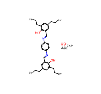 CC(=O)[O-].CC(=O)[O-].CC(C)CCc1cc(C=Nc2ccc(N=Cc3cc(CCC(C)C)cc(CCC(C)C)c3O)cc2)c(O)c(CCC(C)C)c1.[Co+2]